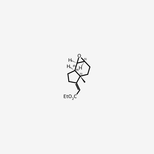 CCOC(=O)C=C1CC[C@H]2[C@H]3O[C@H]3CC[C@]12C